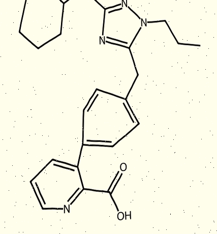 CCCn1nc(CC2CCCCC2)nc1Cc1ccc(-c2cccnc2C(=O)O)cc1